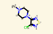 CC(C)N1CCN(c2nsnc2Cl)CC1